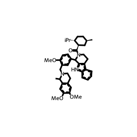 COc1ccc(C2c3[nH]c4ccccc4c3CCN2C(=O)[C@@H]2C[C@H](C)CC[C@H]2C(C)C)cc1CN1CCc2cc(OC)c(OC)cc2C1C